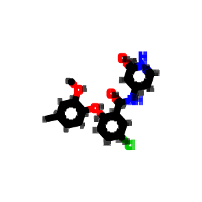 COc1cc(C)ccc1Oc1ccc(Cl)cc1C(=O)Nc1cc[nH]c(=O)c1